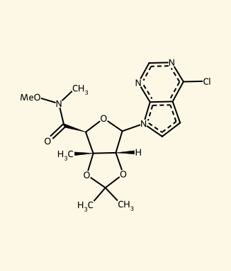 CON(C)C(=O)[C@H]1OC(n2ccc3c(Cl)ncnc32)[C@@H]2OC(C)(C)O[C@]12C